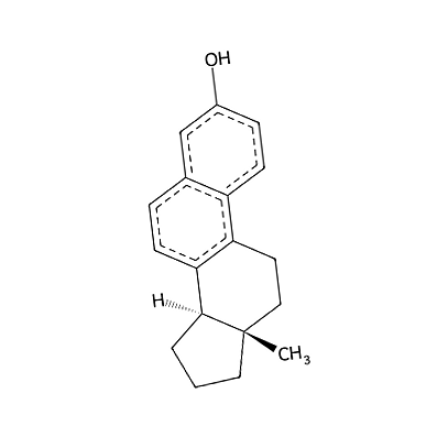 C[C@@]12CCC[C@H]1c1ccc3cc(O)ccc3c1CC2